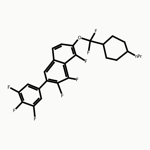 CCCC1CCC(C(F)(F)Oc2ccc3cc(-c4cc(F)c(F)c(F)c4)c(F)c(F)c3c2F)CC1